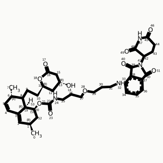 C[C@H]1C=C2C=C[C@H](C)C(CC[C@@H]3C[C@@H](O)CC(=O)O3)[C@H]2[C@@H](OC(=O)NCCCOCCCNc2cccc3c2C(=O)N(C2CCC(=O)NC2=O)C3=O)C1